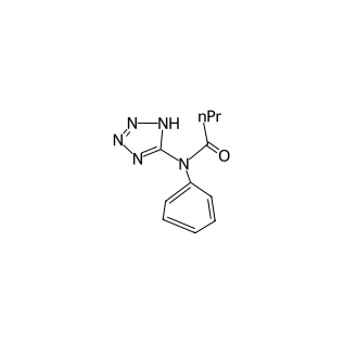 CCCC(=O)N(c1ccccc1)c1nnn[nH]1